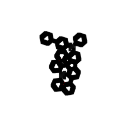 c1ccc(-c2ccc(N(c3ccccc3)c3ccc4c(c3)C3(c5ccccc5)c5ccccc5N(c5ccccc5)c5c(-c6ccccc6)ccc-4c53)cc2)cc1